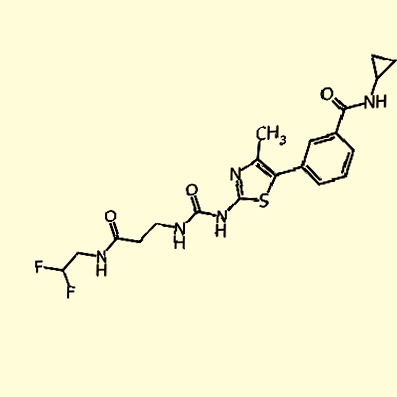 Cc1nc(NC(=O)NCCC(=O)NCC(F)F)sc1-c1cccc(C(=O)NC2CC2)c1